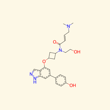 CN(C)C/C=C/C(=O)N(CCO)C1CC(Oc2cc(-c3ccc(O)cc3)cc3[nH]ncc23)C1